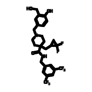 O=C(NCc1cc(C(F)(F)F)cc(C(F)(F)F)c1)C1(CC2CC2(F)F)CCN(Cc2ccc(O)c(CO)c2)CC1